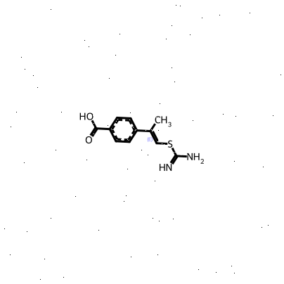 C/C(=C\SC(=N)N)c1ccc(C(=O)O)cc1